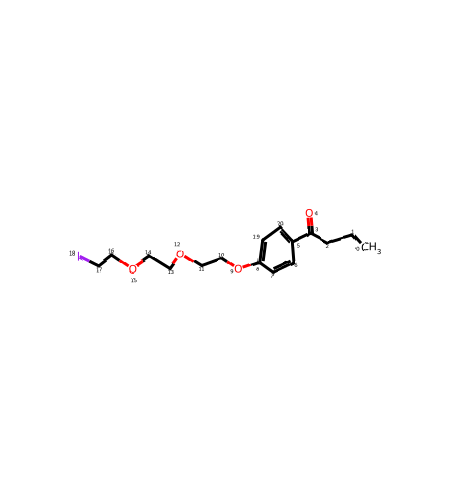 CCCC(=O)c1ccc(OCCOCCOCCI)cc1